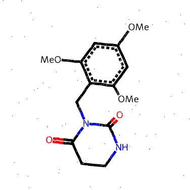 COc1cc(OC)c(CN2C(=O)CCNC2=O)c(OC)c1